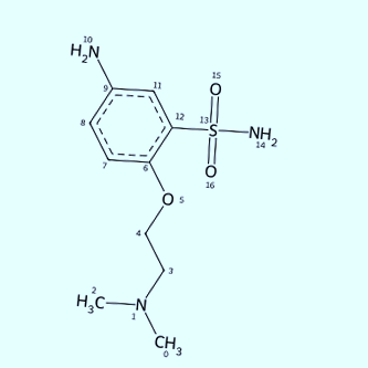 CN(C)CCOc1ccc(N)cc1S(N)(=O)=O